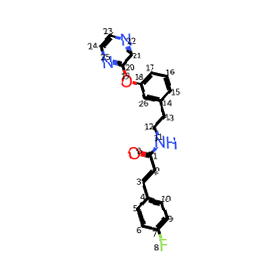 O=C(C=Cc1ccc(F)cc1)NCCc1cccc(Oc2cnccn2)c1